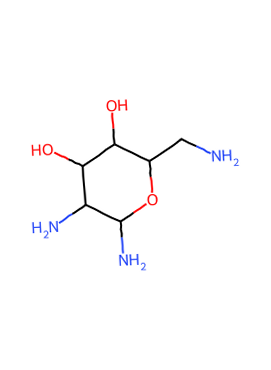 NCC1OC(N)C(N)C(O)C1O